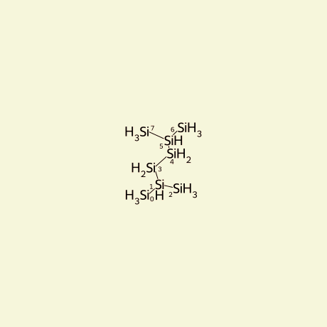 [SiH3][SiH]([SiH3])[SiH2][SiH2][SiH]([SiH3])[SiH3]